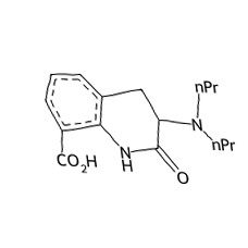 CCCN(CCC)C1Cc2cccc(C(=O)O)c2NC1=O